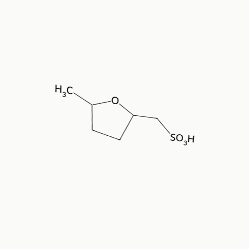 CC1CCC(CS(=O)(=O)O)O1